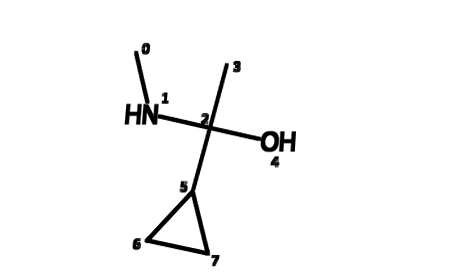 CNC(C)(O)C1CC1